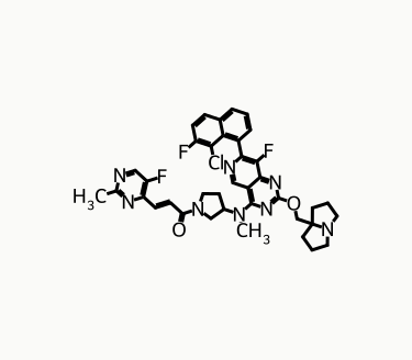 Cc1ncc(F)c(/C=C/C(=O)N2CCC(N(C)c3nc(OCC45CCCN4CCC5)nc4c(F)c(-c5cccc6ccc(F)c(Cl)c56)ncc34)C2)n1